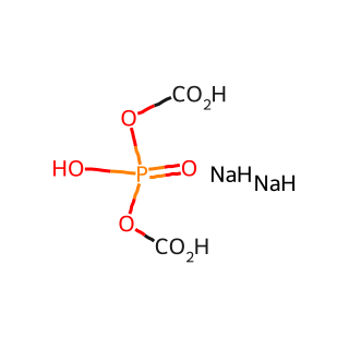 O=C(O)OP(=O)(O)OC(=O)O.[NaH].[NaH]